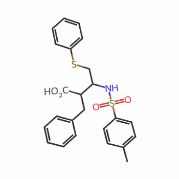 Cc1ccc(S(=O)(=O)NC(CSc2ccccc2)C(Cc2ccccc2)C(=O)O)cc1